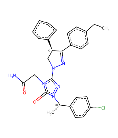 CCc1ccc(C2=NN(c3nn([C@@H](C)c4ccc(Cl)cc4)c(=O)n3CC(N)=O)C[C@H]2c2ccccc2)cc1